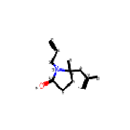 C=CCN1C(=O)CCC1(C)CC(=C)C